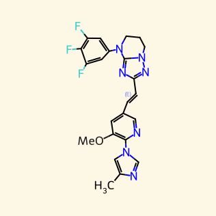 COc1cc(/C=C/c2nc3n(n2)CCCN3c2cc(F)c(F)c(F)c2)cnc1-n1cnc(C)c1